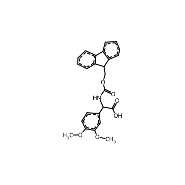 COc1ccc(C(NC(=O)OCC2c3ccccc3-c3ccccc32)C(=O)O)cc1OC